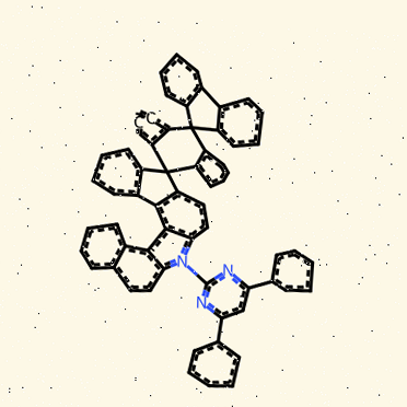 c1ccc(-c2cc(-c3ccccc3)nc(-n3c4ccc5c(c4c4c6ccccc6ccc43)-c3ccccc3C53c4ccccc4C4(c5ccccc5-c5ccccc54)c4ccccc43)n2)cc1